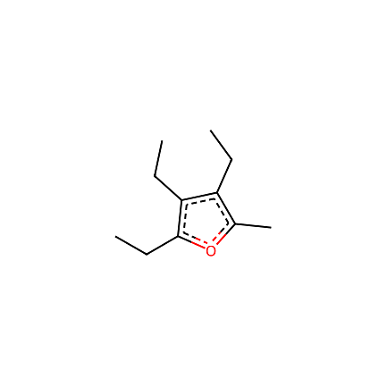 CCc1oc(C)c(CC)c1CC